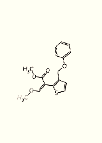 COC=C(C(=O)OC)c1sccc1COc1ccccc1